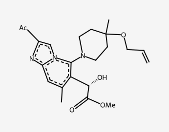 C=CCOC1(C)CCN(c2c([C@H](O)C(=O)OC)c(C)cc3nc(C(C)=O)cn23)CC1